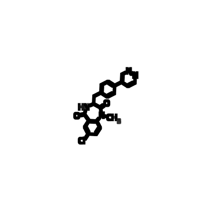 CN1C(=O)C(Cc2ccc(-c3ccnnc3)cc2)NC(=O)c2cc(Cl)ccc21